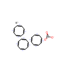 C1=C\C=C/C=C\C=C/1.C1=C\C=C/C=C\C=C/1.C1=C\C=C/C=C\C=C/1.[K+].[O]=[Nb](=[O])[O-]